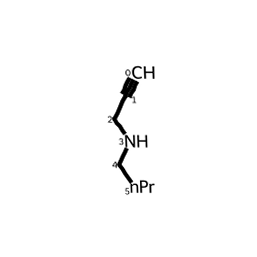 C#CCNCCC[CH2]